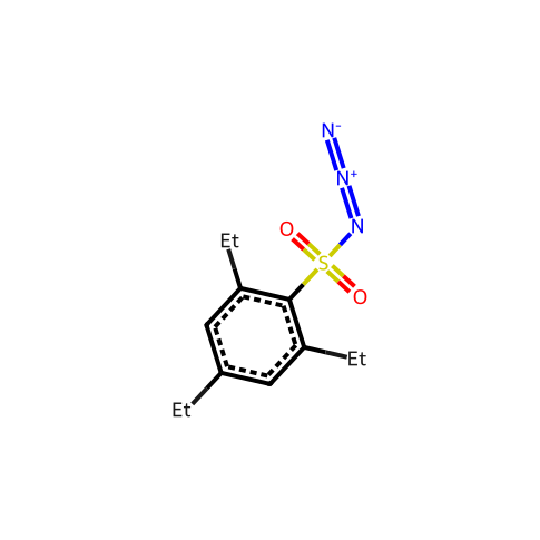 CCc1cc(CC)c(S(=O)(=O)N=[N+]=[N-])c(CC)c1